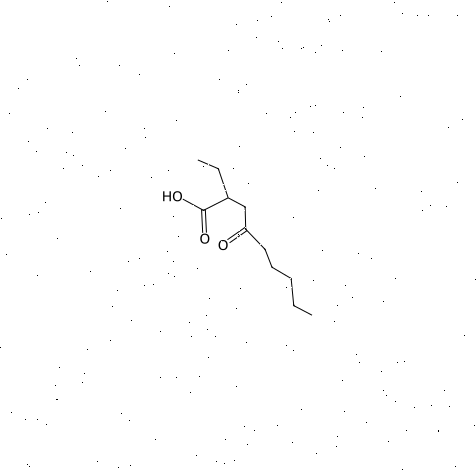 CCCCCC(=O)CC(CC)C(=O)O